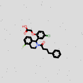 O=C(O)COc1ccc(Cl)cc1C1c2cccc(F)c2CCN1C(=O)CCCc1ccccc1